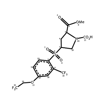 COC(=O)C1CC(S(=O)(=O)c2ccc(OCC(F)(F)F)cc2C(F)(F)F)CN1C(=O)O